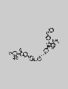 Nc1ncnc2c1c(-c1ccc(Oc3ccccc3)cc1)nn2C1CCN(CCN2CCC(CN3CCN(c4ccc5c(c4)CN(C4CCC(=O)NC4=O)C5=O)CC3)C2)CC1